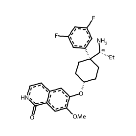 CC[C@@H](N)[C@]1(c2cc(F)cc(F)c2)CC[C@@H](Oc2cc3cc[nH]c(=O)c3cc2OC)CC1